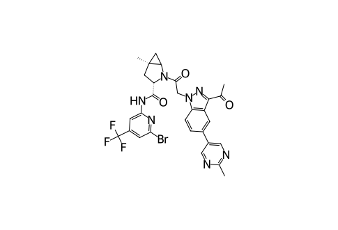 CC(=O)c1nn(CC(=O)N2C3C[C@]3(C)C[C@H]2C(=O)Nc2cc(C(F)(F)F)cc(Br)n2)c2ccc(-c3cnc(C)nc3)cc12